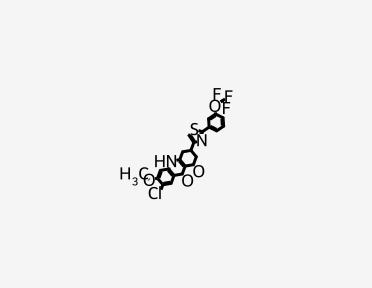 COc1cc2[nH]c3c(c(=O)c2cc1Cl)C(=O)CC(c1csc(-c2cccc(OC(F)(F)F)c2)n1)C3